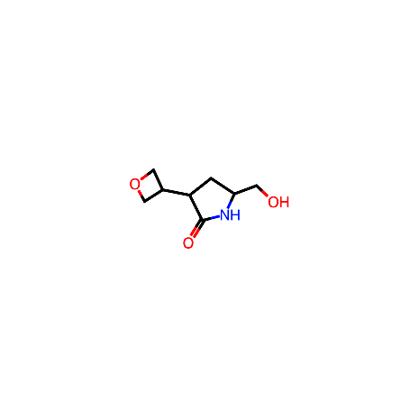 O=C1NC(CO)CC1C1COC1